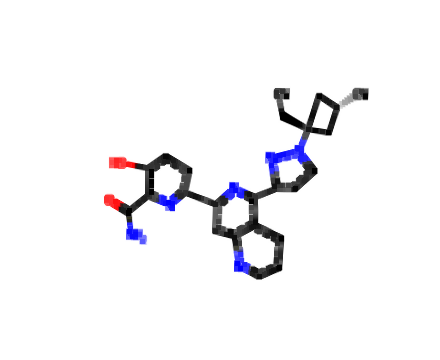 N#CC[C@]1(n2ccc(-c3nc(-c4ccc(O)c(C(N)=O)n4)cc4ncccc34)n2)C[C@@H](C#N)C1